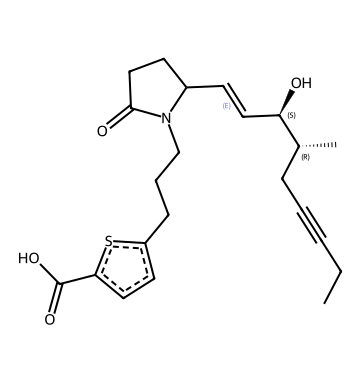 CCC#CC[C@@H](C)[C@H](O)/C=C/C1CCC(=O)N1CCCc1ccc(C(=O)O)s1